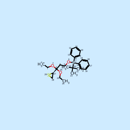 CCOC(CCO[Si](c1ccccc1)(c1ccccc1)C(C)(C)C)(OCC)[C@H]1CS1